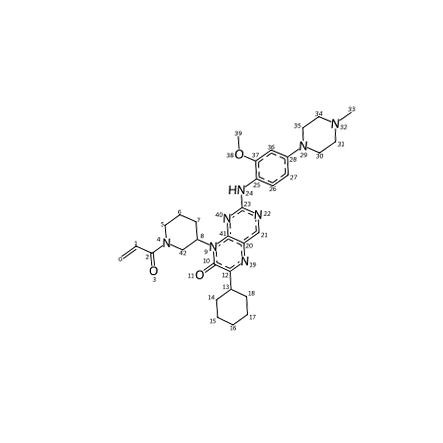 C=CC(=O)N1CCCC(n2c(=O)c(C3CCCCC3)nc3cnc(Nc4ccc(N5CCN(C)CC5)cc4OC)nc32)C1